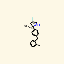 Cc1ccccc1Cc1ccc([C@@]2(CC#N)C[C@@H](F)CN2)cc1